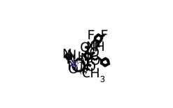 C[C@H]1CCO/N=C(/n2ccnn2)C[C@H]2CN1C(=O)c1c(OCc3ccccc3)c(=O)c(C(=O)NCc3c(F)cc(F)cc3F)cn12